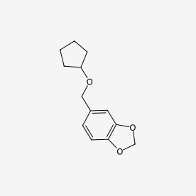 c1cc2c(cc1COC1CCCC1)OCO2